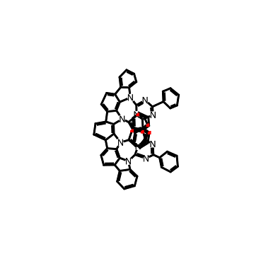 C1=CCCC(n2c3c(ccc4c5ccccc5n(-c5nc(-c6ccccc6)nc(-c6ccccc6)n5)c43)c3ccc4c5ccc6c7ccccc7n(-c7nc(-c8ccccc8)nc(-c8ccccc8)n7)c6c5n(-c5ccccc5)c4c32)=C1